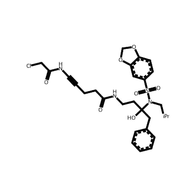 CC(C)CN(C(O)(CCNC(=O)CCC#CNC(=O)CCl)Cc1ccccc1)S(=O)(=O)c1ccc2c(c1)OCO2